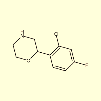 Fc1ccc(C2CNCCO2)c(Cl)c1